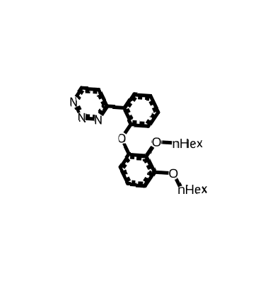 CCCCCCOc1cccc(Oc2ccccc2-c2ccnnn2)c1OCCCCCC